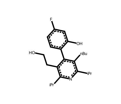 CCCCc1c(C(C)C)nc(C(C)C)c(CCO)c1-c1ccc(F)cc1O